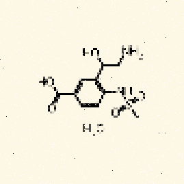 CS(=O)(=O)Nc1ccc(C(=O)O)cc1C(O)CN.O